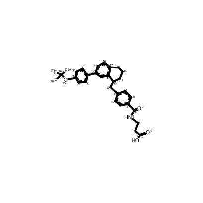 O=C(O)CCNC(=O)c1ccc(CC2CCCc3ccc(-c4ccc(OC(F)(F)F)cc4)cc32)cc1